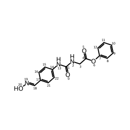 O=C(NCC(=O)Oc1ccccc1)Nc1ccc(C=NO)cc1